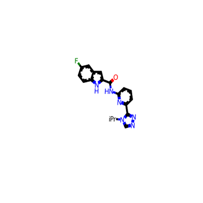 CC(C)n1cnnc1-c1cccc(NC(=O)c2cc3cc(F)ccc3[nH]2)n1